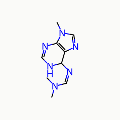 CN(C)/C=N\C1NC=Nc2c1ncn2C